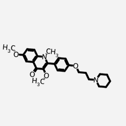 COc1ccc2c(c1)c(=O)c(OC)c(-c1ccc(OCCCN3CCCCC3)cc1)n2C